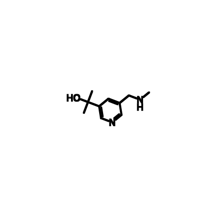 CNCc1cncc(C(C)(C)O)c1